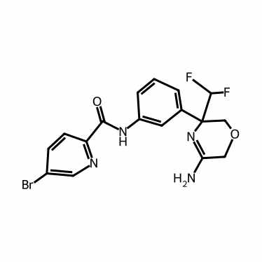 NC1=NC(c2cccc(NC(=O)c3ccc(Br)cn3)c2)(C(F)F)COC1